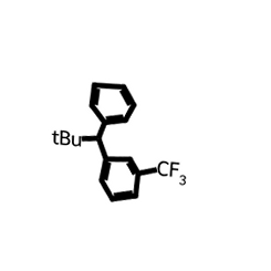 CC(C)(C)C(c1ccccc1)c1cccc(C(F)(F)F)c1